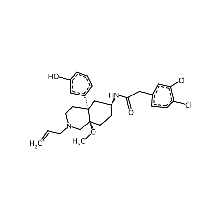 C=CCN1CC[C@@]2(c3cccc(O)c3)C[C@@H](NC(=O)Cc3ccc(Cl)c(Cl)c3)CC[C@]2(OC)C1